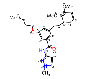 COCCCOc1cc(CCc2cccc(OC)c2OC)cc(C(=O)Nc2ccn(C)n2)c1